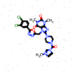 Cn1c(=O)c2c(nc(N3CCN(C(=O)n4cc[n+](C)c4)CC3)n2Cc2nnc(-c3ccc(Cl)c(Cl)c3)o2)n(C)c1=O